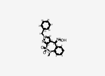 CN1c2ccccc2C(=NO)c2cn(Cc3ccccc3)nc2S1(=O)=O